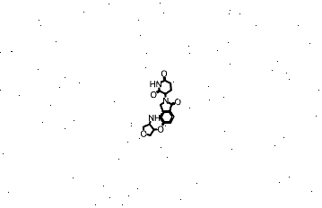 NC1COCC1Oc1ccc2c(c1)CN(C1CCC(=O)NC1=O)C2=O